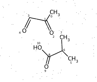 CC(=O)C=O.CC(C)C(=O)O